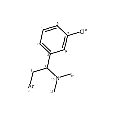 CC(=O)CC(c1cccc(Cl)c1)N(C)C